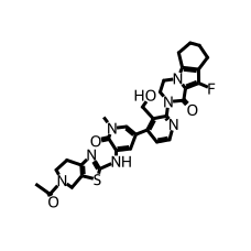 CC(=O)N1CCc2nc(Nc3cc(-c4ccnc(N5CCn6c7c(c(F)c6C5=O)CCCC7)c4CO)cn(C)c3=O)sc2C1